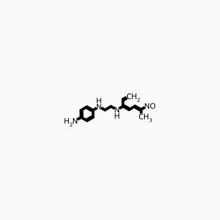 C=C/C(=C\C=C(/C)N=O)NCCNc1ccc(N)cc1